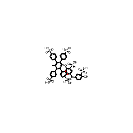 Cc1c(-c2ccc(S(=O)(=O)O)cc2)c(-c2ccc(S(=O)(=O)O)cc2)c(Oc2ccc(C(=O)c3ccc(O)c(S(=O)(=O)O)c3)cc2S(=O)(=O)O)c(-c2ccc(S(=O)(=O)O)cc2)c1-c1ccc(S(=O)(=O)O)cc1